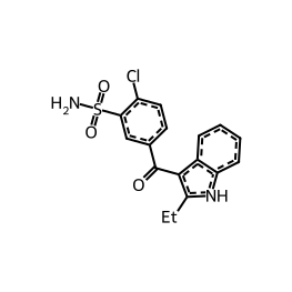 CCc1[nH]c2ccccc2c1C(=O)c1ccc(Cl)c(S(N)(=O)=O)c1